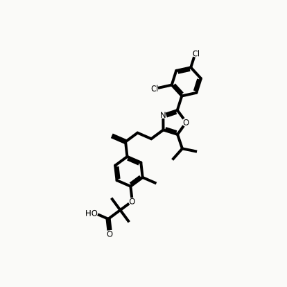 C=C(CCc1nc(-c2ccc(Cl)cc2Cl)oc1C(C)C)c1ccc(OC(C)(C)C(=O)O)c(C)c1